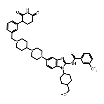 O=C1CCC(c2cccc(CN3CCC(N4CCN(c5ccc6c(c5)nc(NC(=O)c5cccc(C(F)(F)F)c5)n6C5CCC(CO)CC5)CC4)CC3)c2)C(=O)N1